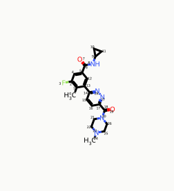 Cc1c(F)cc(C(=O)NC2CC2)cc1-c1ccc(C(=O)N2CCN(C)CC2)nn1